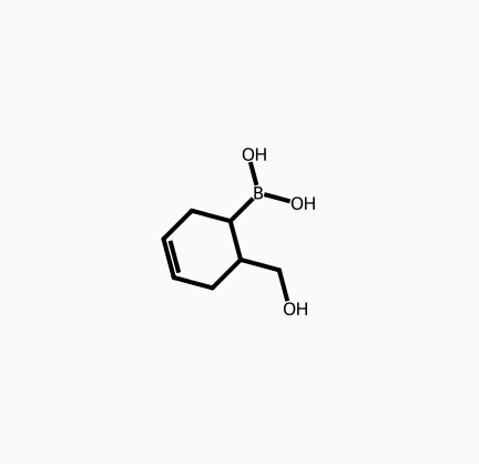 OCC1CC=CCC1B(O)O